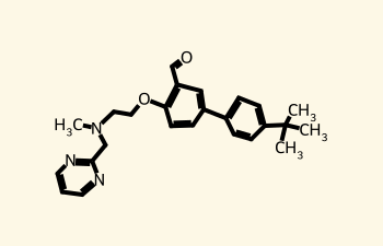 CN(CCOc1ccc(-c2ccc(C(C)(C)C)cc2)cc1C=O)Cc1ncccn1